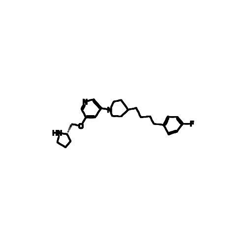 Fc1ccc(CCCCC2CCN(c3cncc(OC[C@@H]4CCCN4)c3)CC2)cc1